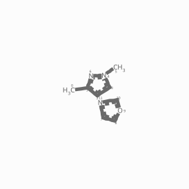 Cc1ccn(C)n1.c1cocn1